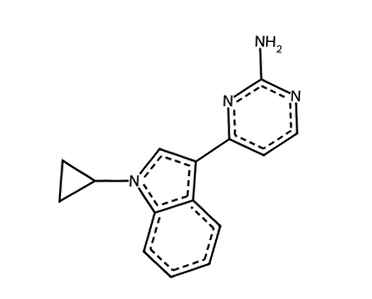 Nc1nccc(-c2cn(C3CC3)c3ccccc23)n1